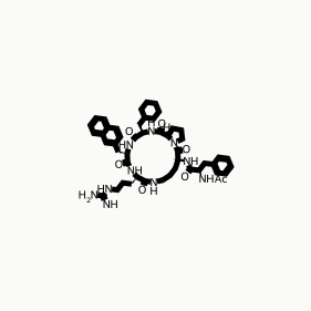 CC(=O)N[C@@H](Cc1ccccc1)C(=O)N[C@H]1CCCNC(=O)[C@H](CCCNC(=N)N)NC(=O)[C@H](Cc2ccc3ccccc3c2)NC(=O)[C@@H](CC2CCCCC2)NC(=O)[C@@H]2CCCN2C1=O